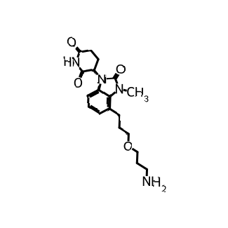 Cn1c(=O)n(C2CCC(=O)NC2=O)c2cccc(CCCOCCCN)c21